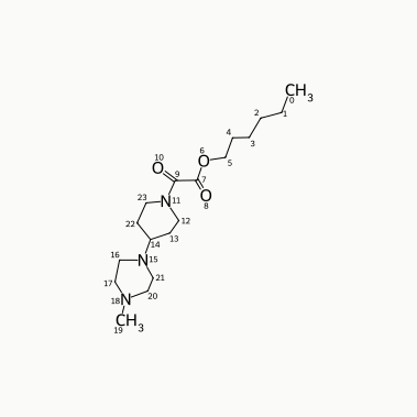 CCCCCCOC(=O)C(=O)N1CCC(N2CCN(C)CC2)CC1